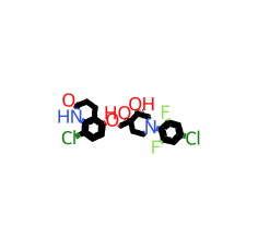 O=C1CCc2c(OC[C@@]3(O)CCN(c4c(F)cc(Cl)cc4F)C[C@@H]3O)ccc(Cl)c2N1